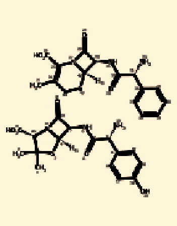 CC1(C)S[C@@H]2[C@H](NC(=O)[C@H](N)c3ccc(O)cc3)C(=O)N2[C@H]1C(=O)O.CC1=C(C(=O)O)N2C(=O)[C@@H](NC(=O)[C@H](N)c3ccccc3)[C@H]2SC1